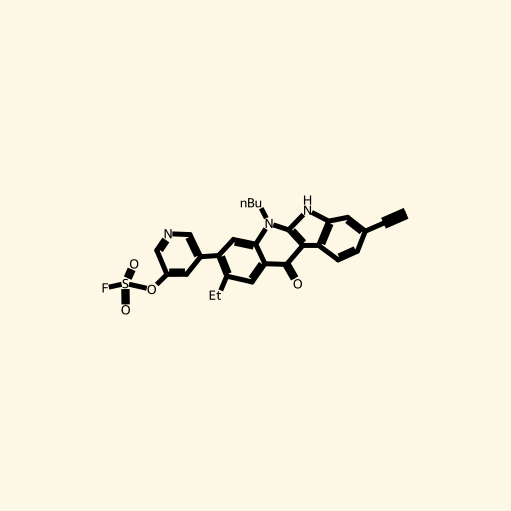 C#Cc1ccc2c(c1)[nH]c1c2c(=O)c2cc(CC)c(-c3cncc(OS(=O)(=O)F)c3)cc2n1CCCC